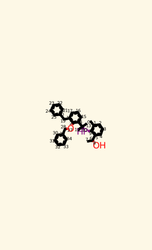 Cc1cccc(C(C)O)c1PC(C)(C)c1cccc(Cc2ccccc2)c1OCc1ccccc1